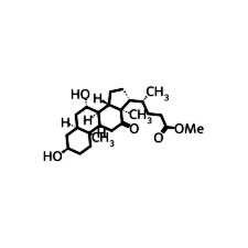 COC(=O)CC[C@@H](C)[C@H]1CC[C@H]2[C@@H]3[C@@H](O)C[C@@H]4C[C@H](O)CC[C@]4(C)[C@H]3CC(=O)[C@]12C